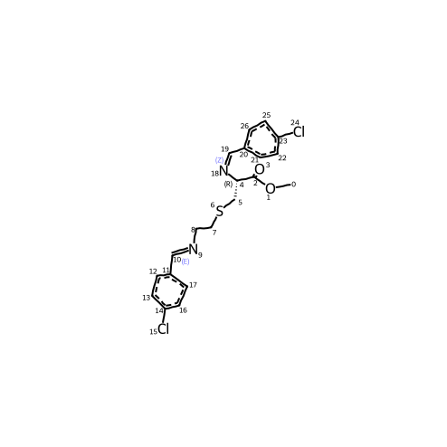 COC(=O)[C@H](CSCC/N=C/c1ccc(Cl)cc1)/N=C\c1ccc(Cl)cc1